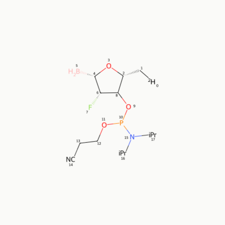 [2H]C[C@H]1O[C@@H](B)[C@@H](F)C1OP(OCCC#N)N(C(C)C)C(C)C